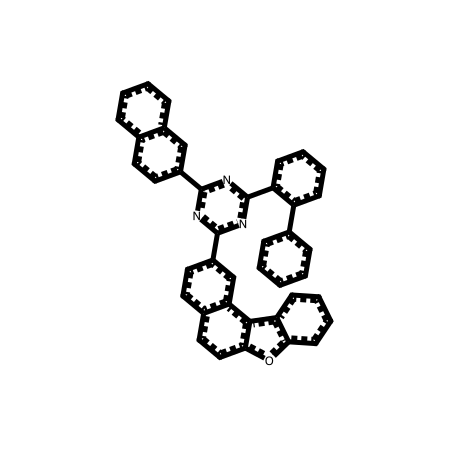 c1ccc(-c2ccccc2-c2nc(-c3ccc4ccccc4c3)nc(-c3ccc4ccc5oc6ccccc6c5c4c3)n2)cc1